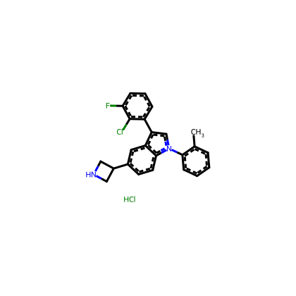 Cc1ccccc1-n1cc(-c2cccc(F)c2Cl)c2cc(C3CNC3)ccc21.Cl